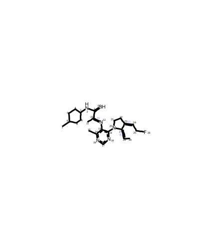 B=C(NC1CCC(C)CC1)/C(C)=N/c1c(C)ncnc1N1CCC(=C/CF)/C1=C\C